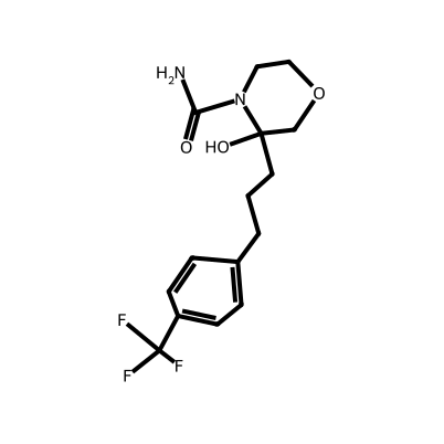 NC(=O)N1CCOCC1(O)CCCc1ccc(C(F)(F)F)cc1